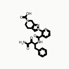 NC(=O)C(=O)C(Cc1ccccc1)NC(=O)c1cccnc1-n1cc2c(n1)CN(C(=O)O)CC2